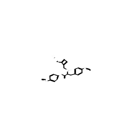 O=C=NC1=CC=C1CNC(Cc1ccc(N=C=O)cc1)C(=O)Oc1ccc(N=C=O)cc1